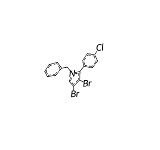 Clc1ccc(-c2c(Br)c(Br)cn2Cc2ccccc2)cc1